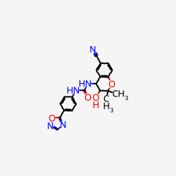 CC1(C)Oc2ccc(C#N)cc2C(NC(=O)Nc2ccc(-c3ncno3)cc2)C1O